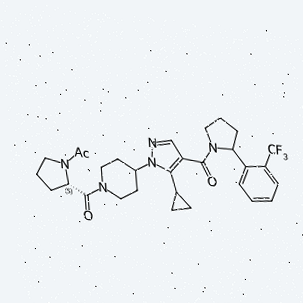 CC(=O)N1CCC[C@H]1C(=O)N1CCC(n2ncc(C(=O)N3CCCC3c3ccccc3C(F)(F)F)c2C2CC2)CC1